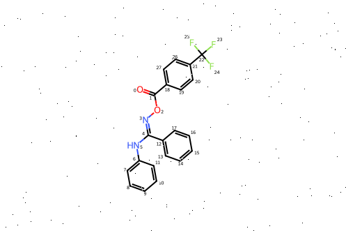 O=C(O/N=C(/Nc1ccccc1)c1ccccc1)c1ccc(C(F)(F)F)cc1